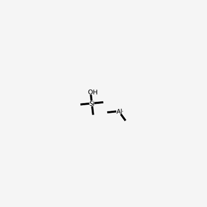 C[Si](C)(C)O.[CH3][Al][CH3]